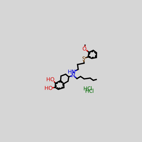 CCCCCCN(NCCCSc1ccccc1OC)C1CCc2c(ccc(O)c2O)C1.Cl.Cl